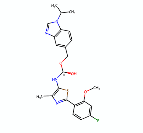 COc1cc(F)ccc1-c1nc(C)c(N[C@H](O)OCc2ccc3c(c2)ncn3C(C)C)s1